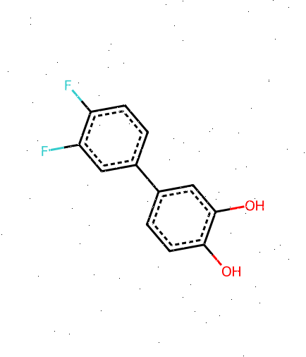 Oc1ccc(-c2ccc(F)c(F)c2)cc1O